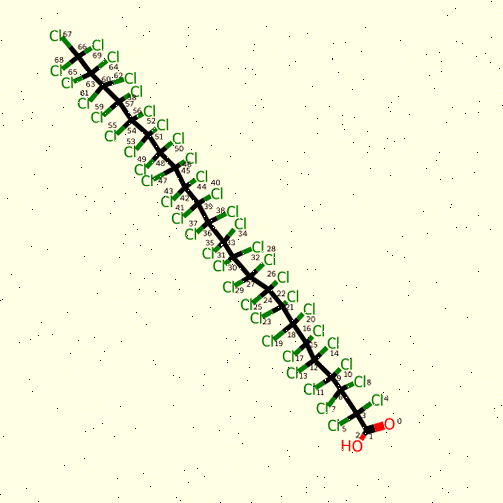 O=C(O)C(Cl)(Cl)C(Cl)(Cl)C(Cl)(Cl)C(Cl)(Cl)C(Cl)(Cl)C(Cl)(Cl)C(Cl)(Cl)C(Cl)(Cl)C(Cl)(Cl)C(Cl)(Cl)C(Cl)(Cl)C(Cl)(Cl)C(Cl)(Cl)C(Cl)(Cl)C(Cl)(Cl)C(Cl)(Cl)C(Cl)(Cl)C(Cl)(Cl)C(Cl)(Cl)C(Cl)(Cl)C(Cl)(Cl)C(Cl)(Cl)Cl